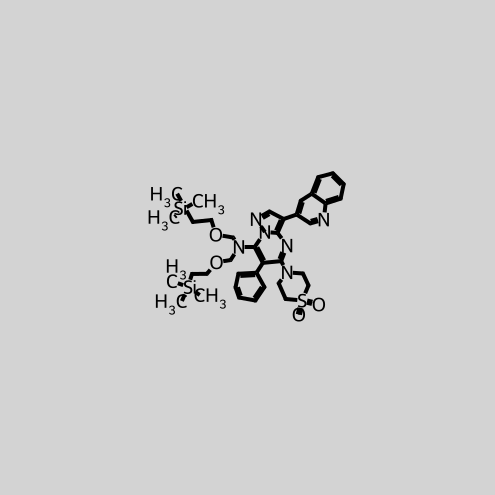 C[Si](C)(C)CCOCN(COCC[Si](C)(C)C)c1c(-c2ccccc2)c(N2CCS(=O)(=O)CC2)nc2c(-c3cnc4ccccc4c3)cnn12